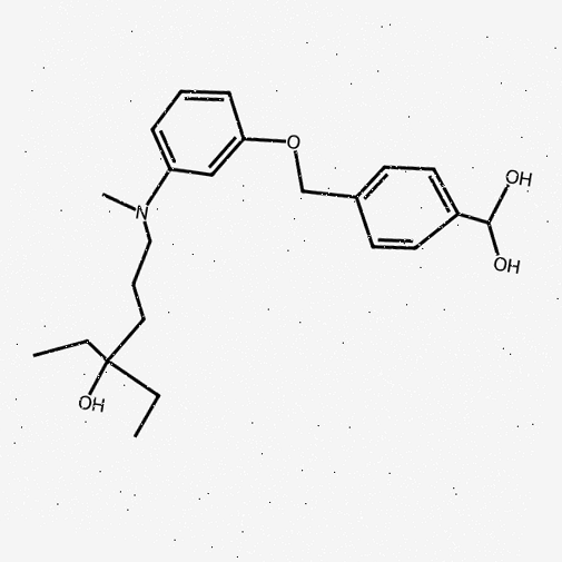 CCC(O)(CC)CCCN(C)c1cccc(OCc2ccc(C(O)O)cc2)c1